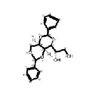 OC[C@H](O)[C@@H]1OC(c2ccccc2)O[C@@H]2COC(c3ccccc3)O[C@H]12